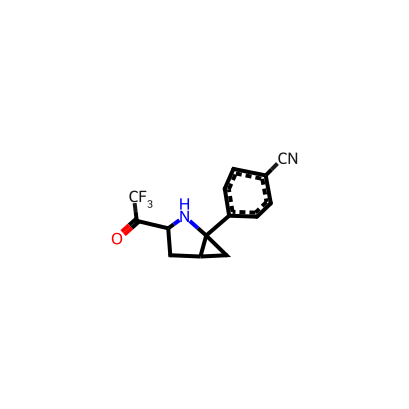 N#Cc1ccc(C23CC2CC(C(=O)C(F)(F)F)N3)cc1